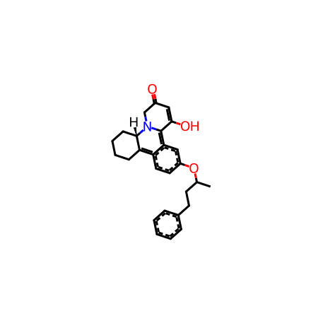 CC(CCc1ccccc1)Oc1ccc2c(c1)=C1C(O)=CC(=O)CN1[C@H]1CCCCC=21